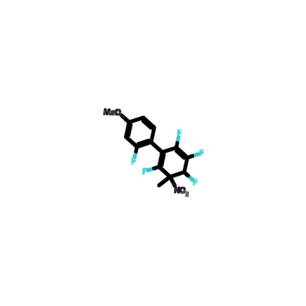 COc1ccc(C2=C(F)C(C)([N+](=O)[O-])C(F)C(F)=C2F)c(F)c1